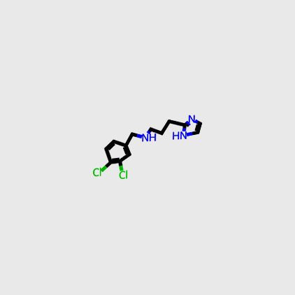 Clc1ccc(CNCCCc2ncc[nH]2)cc1Cl